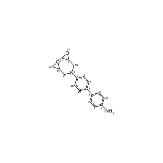 Nc1ccc(-c2ccc(N(CC3CO3)CC3CO3)cc2)cc1